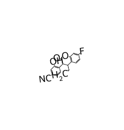 C=CC1c2ccc(F)cc2OC(=O)C1c1ccc(C#N)cc1O